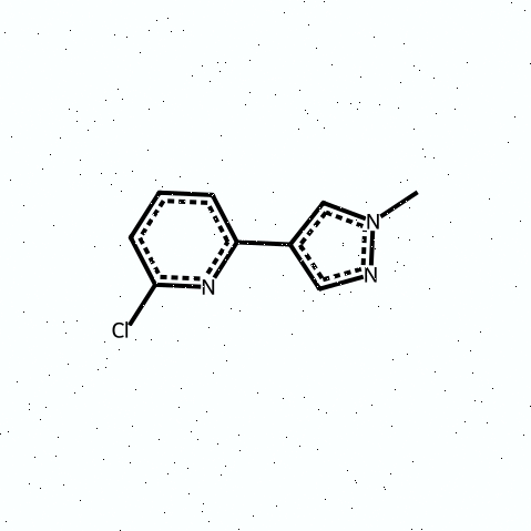 Cn1cc(-c2cccc(Cl)n2)cn1